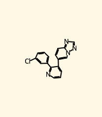 Clc1cccc(-c2ncccc2-c2ccc3ncnn3c2)c1